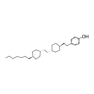 CCCCCCC[C@H]1CC[C@H](CC[C@H]2CC[C@H](CCc3ccc(O)cc3)CC2)CC1